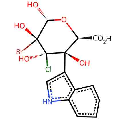 O=C(O)[C@@H]1O[C@@H](O)[C@@](O)(Br)[C@](O)(Cl)[C@@]1(O)c1c[nH]c2ccccc12